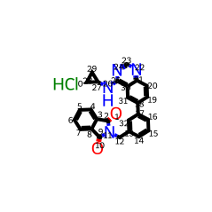 Cl.O=C1c2ccccc2C(=O)N1Cc1cccc(-c2ccc3ncnc(NC4CC4)c3c2)c1